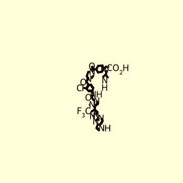 Cn1c(-c2cn(-c3ncc4[nH]ccc4n3)nc2C(F)(F)F)cnc1C(=O)Nc1ccc(C(=O)N2CCN(C(=O)C3CC[N+](CC(=O)O)(CC4CNC4)CC3)CC2)c(Cl)c1